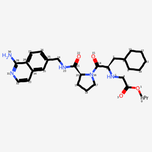 CCCOC(=O)CN[C@H](CC1CCCCC1)C(=O)N1CCC[C@H]1C(=O)NCc1ccc2c(N)nccc2c1